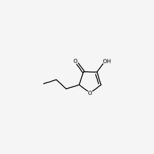 CCCC1OC=C(O)C1=O